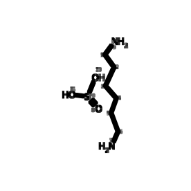 NCCCCCCN.O=[Si](O)O